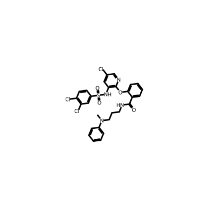 CN(CCCNC(=O)c1ccccc1Oc1ncc(Cl)cc1NS(=O)(=O)c1ccc(Cl)c(Cl)c1)c1ccccc1